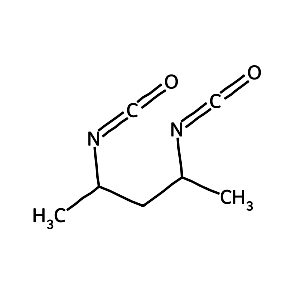 CC(CC(C)N=C=O)N=C=O